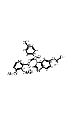 COc1ccnc(C[S+]([O-])c2nc3ccc(OC(F)F)cc3n2S(=O)(=O)c2ccc(Cl)cc2)c1OC